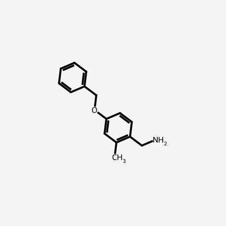 Cc1cc(OCc2ccccc2)ccc1CN